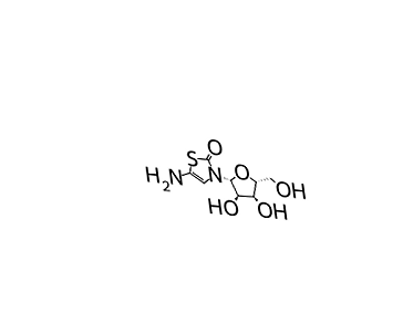 Nc1cn([C@@H]2O[C@H](CO)[C@@H](O)[C@H]2O)c(=O)s1